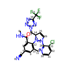 CNC(=O)c1cc(C#N)cc(C)c1N1C(Cn2nnc(C(F)(F)F)n2)C=CN1c1ncccc1Cl